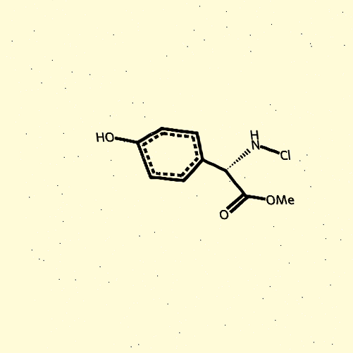 COC(=O)[C@@H](NCl)c1ccc(O)cc1